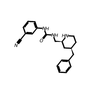 N#Cc1cccc(NC(=O)NC[C@@H]2C[C@H](Cc3ccccc3)CCN2)c1